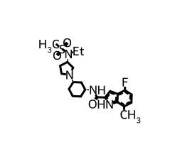 CCN([C@H]1CCN([C@H]2CCC[C@@H](NC(=O)c3cc4c(F)ccc(C)c4[nH]3)C2)C1)S(C)(=O)=O